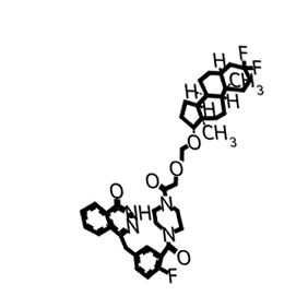 C[C@@]12CCC(F)(F)C[C@H]1CC[C@H]1[C@H]2CC[C@]2(C)[C@@H]1CC[C@H]2OCCOCC(=O)N1CCN(C(=O)c2cc(Cc3n[nH]c(=O)c4ccccc34)ccc2F)CC1